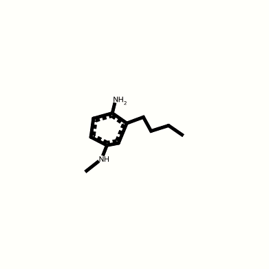 CCCCc1cc(NC)ccc1N